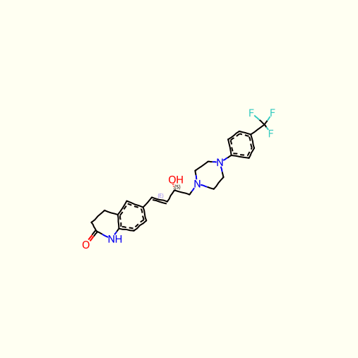 O=C1CCc2cc(/C=C/[C@H](O)CN3CCN(c4ccc(C(F)(F)F)cc4)CC3)ccc2N1